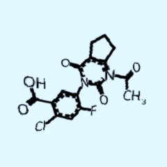 CC(=O)n1c2c(c(=O)n(-c3cc(C(=O)O)c(Cl)cc3F)c1=O)CCC2